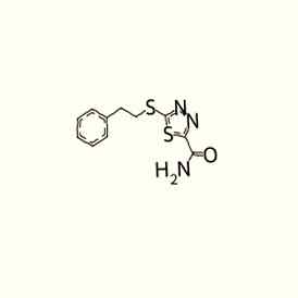 NC(=O)c1nnc(SCCc2ccccc2)s1